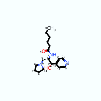 CCCCCC(=O)N[C@@H](CN1CCCC1)[C@@H](O)c1ccncc1